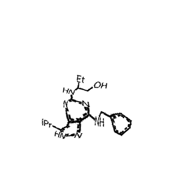 CCC(CO)Nc1nc(NCc2ccccc2)c2n[nH]c(C(C)C)c2n1